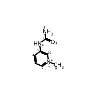 C[n+]1cccc(NC(N)=O)c1